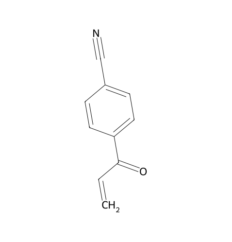 C=CC(=O)c1ccc(C#N)cc1